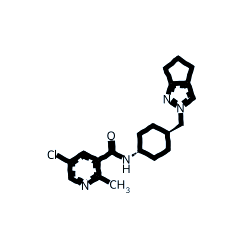 Cc1ncc(Cl)cc1C(=O)N[C@H]1CC[C@H](Cn2cc3c(n2)CCC3)CC1